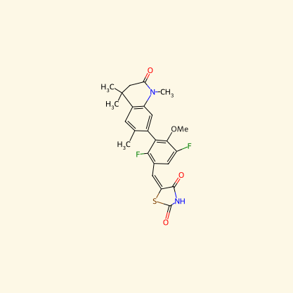 COc1c(F)cc(C=C2SC(=O)NC2=O)c(F)c1-c1cc2c(cc1C)C(C)(C)CC(=O)N2C